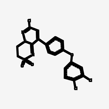 O=S1(=O)CCN2N=C(Cl)C=C(c3ccc(Oc4ccc(Cl)c(Cl)c4)cc3)C2=N1